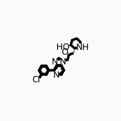 O=C(C[C@H]1NCCC[C@@H]1O)Cn1cnc2c(-c3cccc(Cl)c3)nccc21